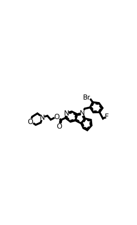 O=C(OCCN1CCOCC1)c1cc2c3ccccc3n(Cc3cc(CF)ccc3Br)c2cn1